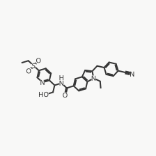 CCn1c(Cc2ccc(C#N)cc2)cc2cc(C(=O)NC(CO)c3ccc(S(=O)(=O)CC)cn3)ccc21